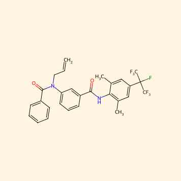 C=CCN(C(=O)c1ccccc1)c1cccc(C(=O)Nc2c(C)cc(C(F)(C(F)(F)F)C(F)(F)F)cc2C)c1